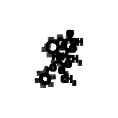 CCOC(=O)C(COCc1ccccc1)N[C@@H](C)C(=O)N1C(C(=O)O)CC2CCCCCC21